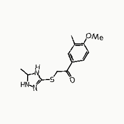 COc1ccc(C(=O)CSC2=NNC(C)N2)cc1C